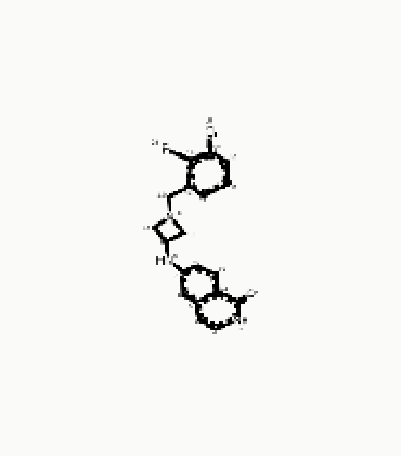 O=c1[nH]ccc2cc(NC3CN(Cc4cccc(Cl)c4F)C3)ccc12